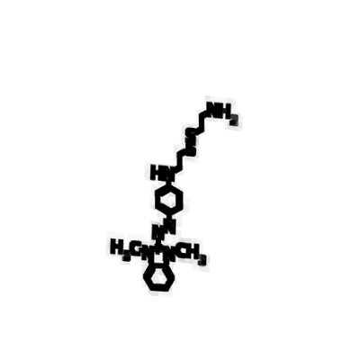 Cn1c(N=Nc2ccc(NCCSSCCN)cc2)[n+](C)c2ccccc21